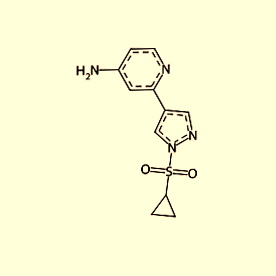 Nc1ccnc(-c2cnn(S(=O)(=O)C3CC3)c2)c1